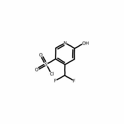 O=S(=O)(Cl)c1cnc(O)cc1C(F)F